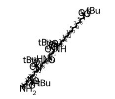 CC(C)(C)OC(=O)CCCCCCCCCCCCCC(=O)NC(CCC(=O)NCCCN(CCCCN(CCCN)C(=O)OC(C)(C)C)C(=O)OC(C)(C)C)C(=O)OC(C)(C)C